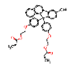 C=CC(=O)OCCOc1ccc(C2(c3ccc(OCCOC(=O)C=C)cc3)c3ccc(OC)cc3-c3ccc4ccccc4c32)cc1